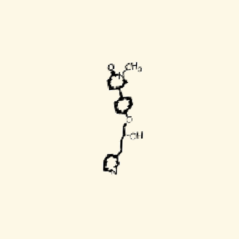 Cn1cc(-c2ccc(OC[C@H](O)CCc3cccnc3)cc2)ccc1=O